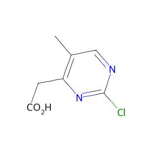 Cc1cnc(Cl)nc1CC(=O)O